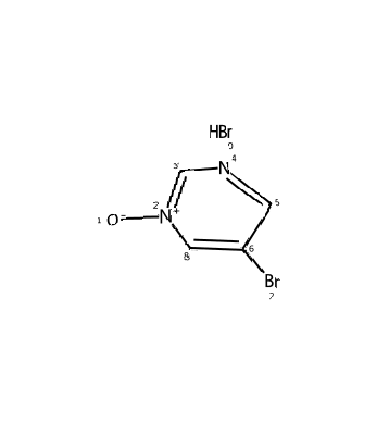 Br.[O-][n+]1cncc(Br)c1